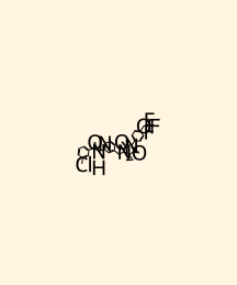 O=C(Nc1cc(CN2C(=O)N(c3ccc(OC(F)(F)F)cc3)C(=O)C23CC3)ccn1)c1cccc(Cl)c1